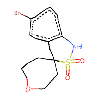 O=S1(=O)Nc2ccc(Br)cc2C12CCOCC2